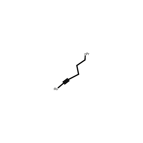 CCCCCCC#C[As]